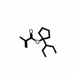 C=C(C)C(=O)OC1(C(CC)CC)CCCC1